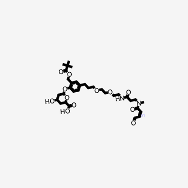 CN(CCC(=O)NCCOCCOCCCc1ccc(OC2CC(O)CC(C(=O)O)O2)c(COC(=O)C(C)(C)C)c1)C(=O)/C=C\C=O